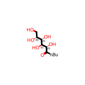 CCCCC(=O)[C@@H](O)[C@@H](O)[C@@H](O)[C@H](O)CO